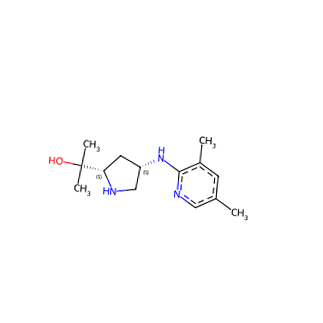 Cc1cnc(N[C@@H]2CN[C@H](C(C)(C)O)C2)c(C)c1